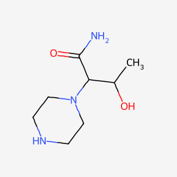 CC(O)C(C(N)=O)N1CCNCC1